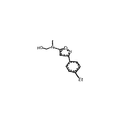 CCc1ccc(-c2cc(N(C)CO)on2)cc1